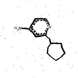 Nc1ccnc(C2CCCC2)c1